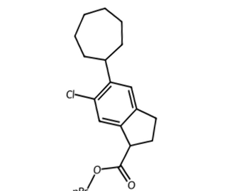 CCCOC(=O)C1CCc2cc(C3CCCCCC3)c(Cl)cc21